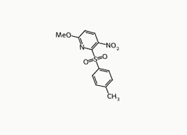 COc1ccc([N+](=O)[O-])c(S(=O)(=O)c2ccc(C)cc2)n1